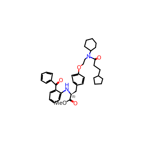 COC(=O)[C@H](Cc1ccc(OCCN(C(=O)CCC2CCCC2)C2CCCCC2)cc1)Nc1ccccc1C(=O)c1ccccc1